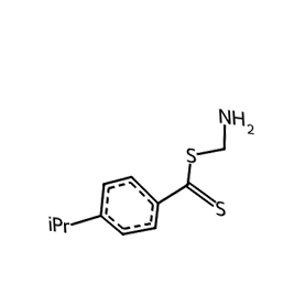 CC(C)c1ccc(C(=S)SCN)cc1